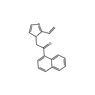 C=Cc1nccn1CC(=O)c1cccc2ccccc12